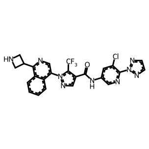 O=C(Nc1cnc(-n2nccn2)c(Cl)c1)c1cnn(-c2cnc(C3CNC3)c3ccccc23)c1C(F)(F)F